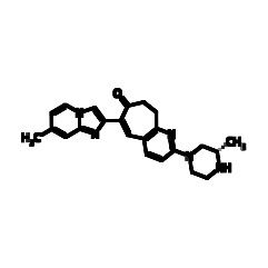 Cc1ccn2cc(C3=Cc4ccc(N5CCN[C@@H](C)C5)nc4CCC3=O)nc2c1